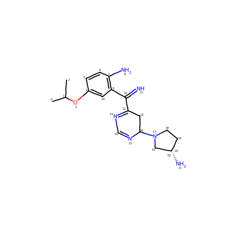 CC(C)Oc1ccc(N)c(C(=N)C2=NC=NC(N3CC[C@H](N)C3)C2)c1